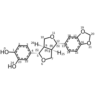 Oc1ccc([C@H]2OC[C@H]3[C@@H]2CO[C@@H]3c2ccc3c(c2)OCO3)cc1O